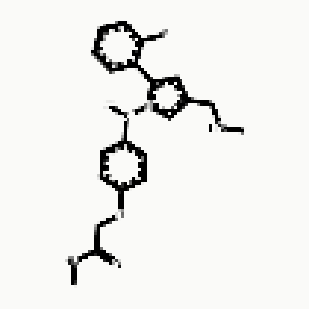 CNCc1cc(-c2ccccc2F)n([S+]([O-])c2ccc(OCC(=O)NC)cc2)c1